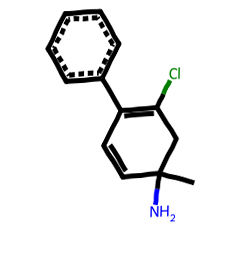 CC1(N)C=CC(c2ccccc2)=C(Cl)C1